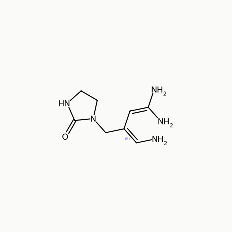 N/C=C(\C=C(N)N)CN1CCNC1=O